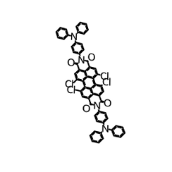 O=C1c2cc(Cl)c3c4c(Cl)cc5c6c(cc(Cl)c(c7c(Cl)cc(c2c37)C(=O)N1c1ccc(N(c2ccccc2)c2ccccc2)cc1)c64)C(=O)N(c1ccc(N(c2ccccc2)c2ccccc2)cc1)C5=O